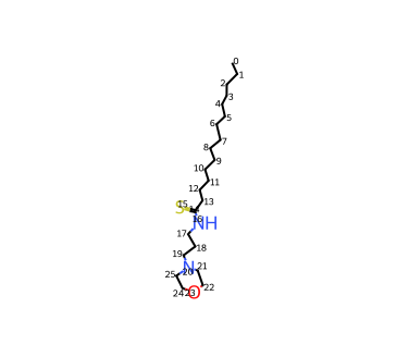 CCCCCCCCCCCCCCC(=S)NCCCN1CCOCC1